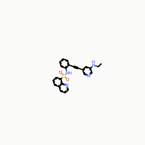 CCNc1cncc(C#Cc2ccccc2NS(=O)(=O)c2cccc3cccnc23)c1